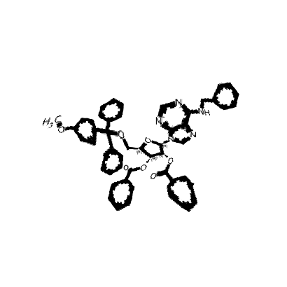 COc1ccc(C(OC[C@H]2O[C@@H](n3cnc4c(NCc5ccccc5)ncnc43)[C@H](OC(=O)c3ccccc3)[C@@H]2OC(=O)c2ccccc2)(c2ccccc2)c2ccccc2)cc1